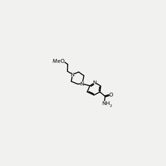 COCCN1CCN(c2ccc(C(N)=O)cn2)CC1